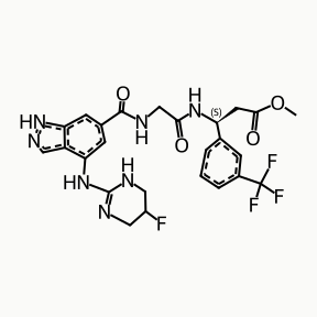 COC(=O)C[C@H](NC(=O)CNC(=O)c1cc(NC2=NCC(F)CN2)c2cn[nH]c2c1)c1cccc(C(F)(F)F)c1